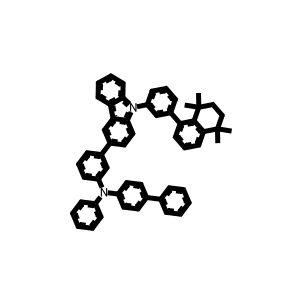 CC1(C)CCC(C)(C)c2c(-c3cccc(-n4c5ccccc5c5cc(-c6cccc(N(c7ccccc7)c7ccc(-c8ccccc8)cc7)c6)ccc54)c3)cccc21